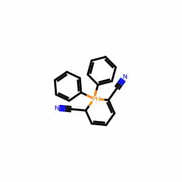 N#CC1=CC=CC(C#N)[PH]1(c1ccccc1)c1ccccc1